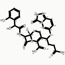 Cc1ccccc1C(O)C(=O)NC1C(=O)N2C(C(=O)O)=C(C(CCC(=O)O)Sc3ccc4n[nH]c(=O)n4n3)CS[C@@H]12